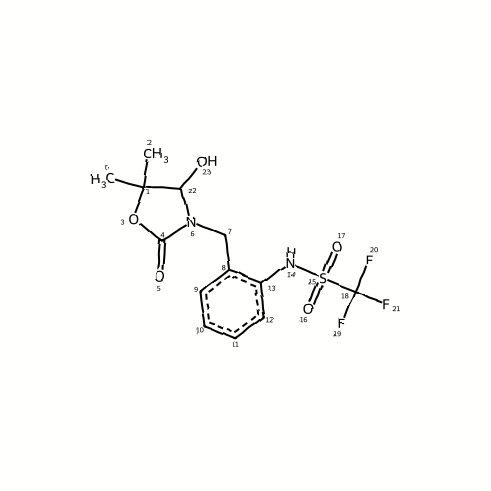 CC1(C)OC(=O)N(Cc2ccccc2NS(=O)(=O)C(F)(F)F)C1O